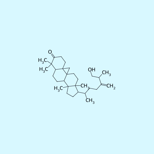 C=C(CCC(C)C1CCC2(C)C3CCC4C(C)(C)C(=O)CCC45CC35CCC12C)C(C)CO